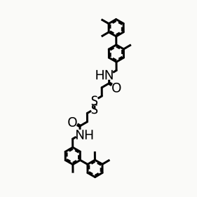 Cc1cc(CNC(=O)CCSSCCC(=O)NCc2ccc(C)c(-c3cccc(C)c3C)c2)ccc1-c1cccc(C)c1C